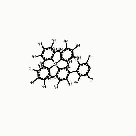 [2H]c1c([2H])c([2H])c([Si](c2c([2H])c([2H])c([2H])c([2H])c2[2H])(c2c([2H])c([2H])c([2H])c([2H])c2[2H])c2c([2H])c([2H])c([2H])c(-c3c([2H])c(Cl)cc(Br)c3[2H])c2[2H])c([2H])c1[2H]